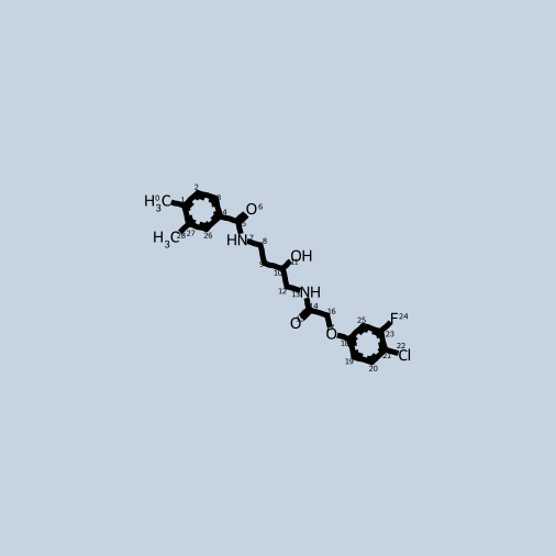 Cc1ccc(C(=O)NCCC(O)CNC(=O)COc2ccc(Cl)c(F)c2)cc1C